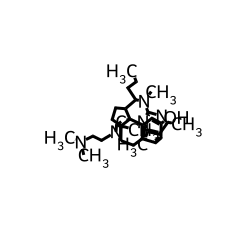 CCCC(C1CCC2(C)C3Cc4ccc(O)cc4C12CCN3CCN(C)C)N(C)c1nc(C)cc(C)n1